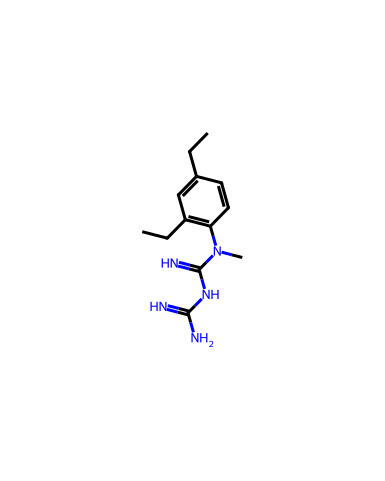 CCc1ccc(N(C)C(=N)NC(=N)N)c(CC)c1